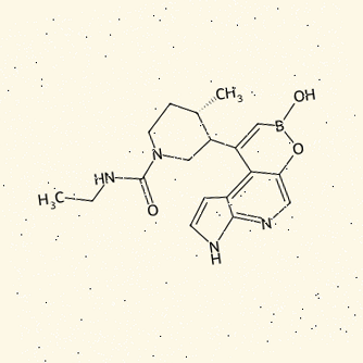 CCNC(=O)N1CC[C@H](C)C(C2=CB(O)Oc3cnc4[nH]ccc4c32)C1